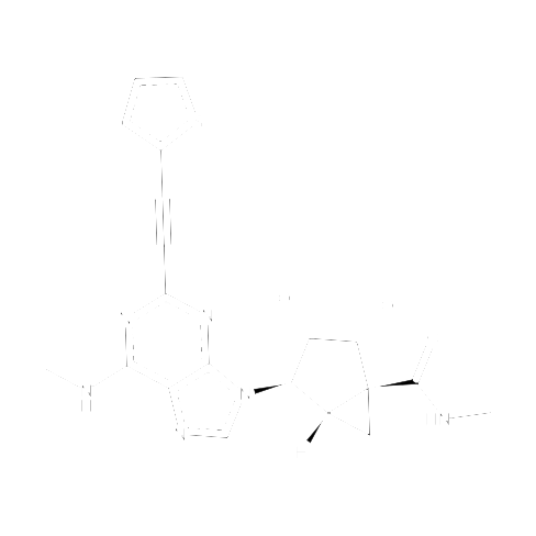 CNC(=O)[C@@]12C[C@@H]1[C@@H](n1cnc3c(NC)nc(C#Cc4cccs4)nc31)[C@H](O)[C@@H]2O